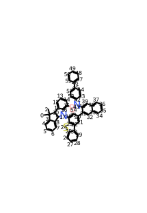 CC1(C)c2ccccc2C2C1c1cccc3c1N2c1c2c(cc4c1sc1ccccc14)-c1cc4ccccc4cc1N(c1ccc(-c4ccccc4)cc1)B32